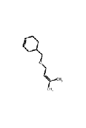 CC(C)=CCOCC1CC=CCC1